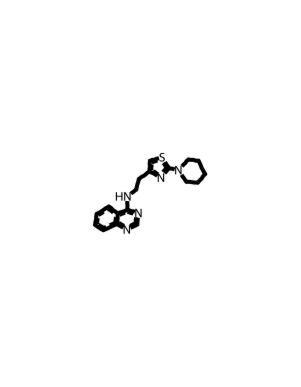 c1ccc2c(NCCc3csc(N4CCCCC4)n3)ncnc2c1